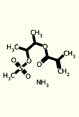 C=C(C)C(=O)OC(C)C(C)OS(C)(=O)=O.N